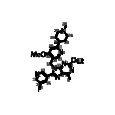 CCOc1nc(C)c2nc(-c3cncc(F)c3)n(Cc3cnc(C4CCN(C)CC4)cc3OC)c2n1